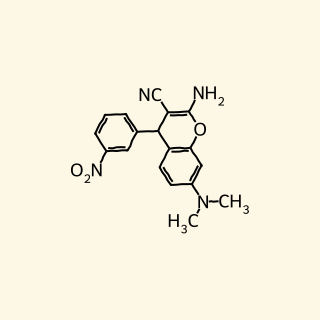 CN(C)c1ccc2c(c1)OC(N)=C(C#N)C2c1cccc([N+](=O)[O-])c1